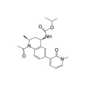 CC(=O)N1c2ccc(-c3cccn(C)c3=O)cc2[C@H](NC(=O)OC(C)C)C[C@@H]1C